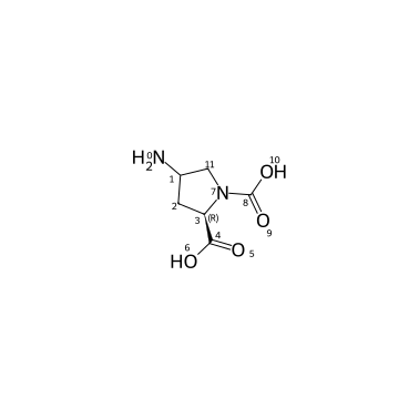 NC1C[C@H](C(=O)O)N(C(=O)O)C1